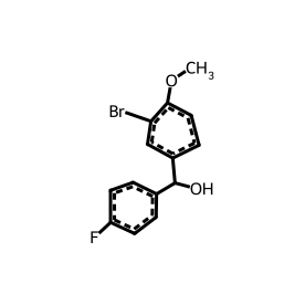 COc1ccc(C(O)c2ccc(F)cc2)cc1Br